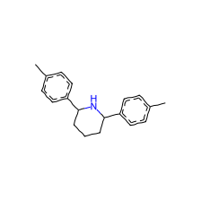 Cc1ccc(C2CCCC(c3ccc(C)cc3)N2)cc1